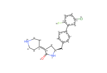 O=C1N[C@H](Cc2ccc(-c3cc(Cl)ccc3F)cc2)CC1=C1CCNCC1